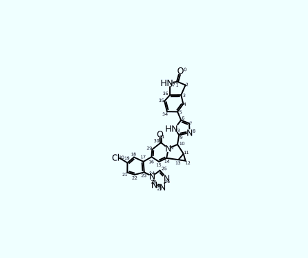 O=C1Cc2cc(-c3cnc(C4C5CC5c5cc(-c6cc(Cl)ccc6-n6cnnn6)cc(=O)n54)[nH]3)ccc2N1